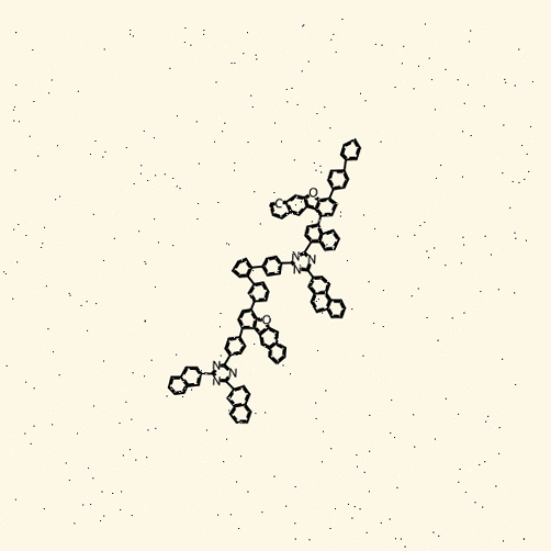 c1ccc(-c2ccc(-c3ccc(-c4ccc(-c5nc(-c6ccc(-c7ccccc7-c7cccc(-c8ccc(-c9ccc(-c%10nc(-c%11ccc%12ccccc%12c%11)nc(-c%11ccc%12ccccc%12c%11)n%10)cc9)c9c8oc8cc%10ccccc%10cc89)c7)cc6)nc(-c6ccc7c(ccc8ccccc87)c6)n5)c5ccccc45)c4c3oc3cc5ccccc5cc34)cc2)cc1